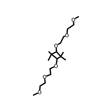 COCCOCCOC1C(C)(C)C(OCCOCCOC)C1(C)C